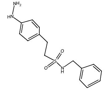 NNc1ccc(CCS(=O)(=O)NCc2ccccc2)cc1